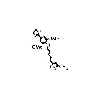 COc1cc(C2=NCCO2)cc(OC)c1OCCCCCc1cc(C)no1